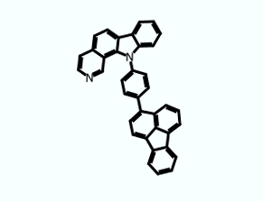 c1ccc2c(c1)-c1cccc3c(-c4ccc(-n5c6ccccc6c6ccc7ccncc7c65)cc4)ccc-2c13